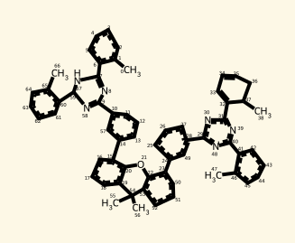 Cc1ccccc1C1=NC(c2cccc(-c3cccc4c3Oc3c(-c5cccc(-c6nc(C7=CC=CCC7C)nc(-c7ccccc7C)n6)c5)cccc3C4(C)C)c2)=NC(c2ccccc2C)N1